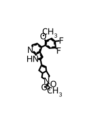 COc1cc(F)c(F)cc1-c1ccnc2[nH]c(C3=CC4CN(S(C)(=O)=O)CC4C3)cc12